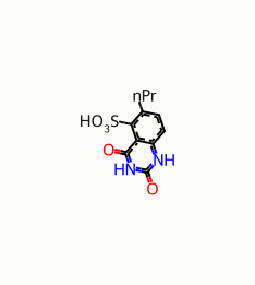 CCCc1ccc2[nH]c(=O)[nH]c(=O)c2c1S(=O)(=O)O